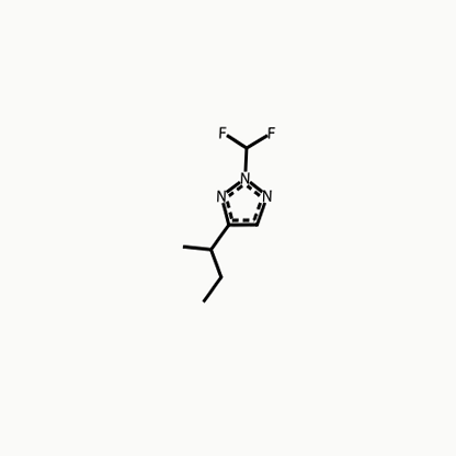 CCC(C)c1cnn(C(F)F)n1